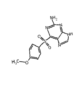 COc1ccc(S(=O)(=O)c2nc(N)nc3[nH]cnc23)cc1